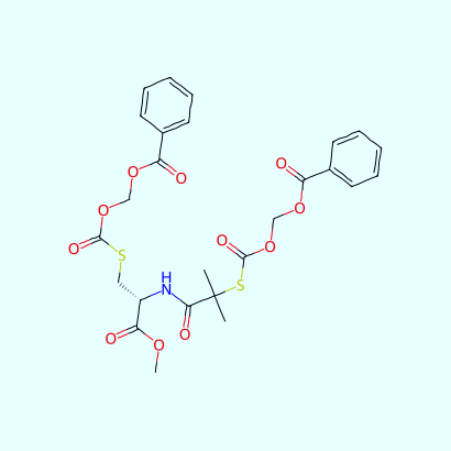 COC(=O)[C@H](CSC(=O)OCOC(=O)c1ccccc1)NC(=O)C(C)(C)SC(=O)OCOC(=O)c1ccccc1